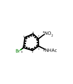 CC(=O)Nc1cc(Br)ccc1[N+](=O)[O-]